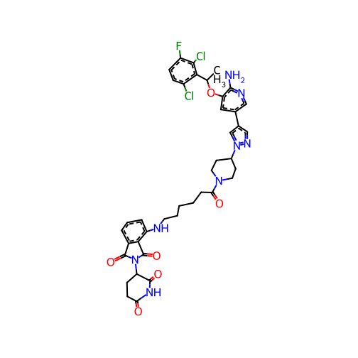 CC(Oc1cc(-c2cnn(C3CCN(C(=O)CCCCCNc4cccc5c4C(=O)N(C4CCC(=O)NC4=O)C5=O)CC3)c2)cnc1N)c1c(Cl)ccc(F)c1Cl